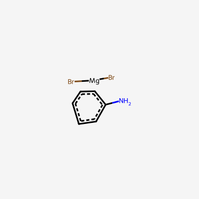 Nc1ccccc1.[Br][Mg][Br]